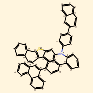 c1ccc(N(c2ccc(-c3ccc4ccccc4c3)cc2)c2ccc3c(c2)sc2c4ccccc4ccc32)c(-c2ccc(-c3cc4ccccc4c4ccccc34)cc2)c1